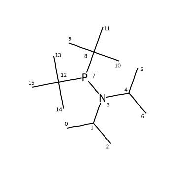 CC(C)N(C(C)C)P(C(C)(C)C)C(C)(C)C